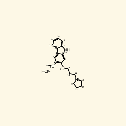 COc1cc2c(cc1OCCCN1CCCC1)[nH]c1cccnc12.Cl